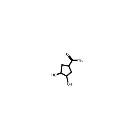 CCCCC(=O)C1CC(O)C(O)C1